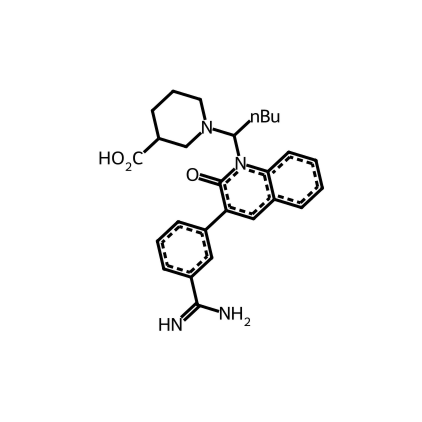 CCCCC(N1CCCC(C(=O)O)C1)n1c(=O)c(-c2cccc(C(=N)N)c2)cc2ccccc21